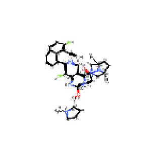 C#Cc1c(F)ccc2cccc(-c3ncc4c(N5C[C@H]6CC[C@@H](C5)N6C(=O)C=C)nc(OC[C@@H]5CCCN5C)nc4c3F)c12